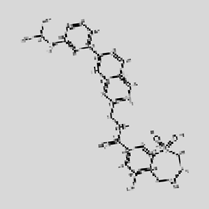 O=C(NCc1cc2nc(-c3cccc(OC(F)F)c3)ccc2cn1)c1cc(F)c2c(c1)S(=O)(=O)CCOC2